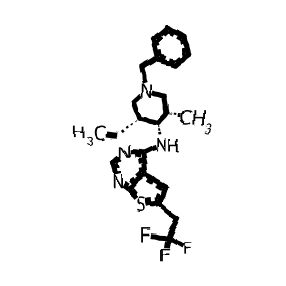 CC[C@@H]1CN(Cc2ccccc2)C[C@H](C)[C@@H]1Nc1ncnc2sc(CC(F)(F)F)cc12